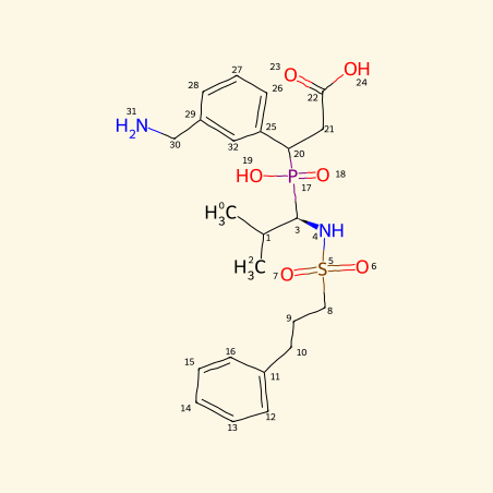 CC(C)[C@H](NS(=O)(=O)CCCc1ccccc1)P(=O)(O)C(CC(=O)O)c1cccc(CN)c1